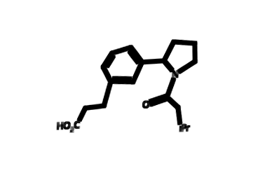 CC(C)CC(=O)N1CCCC1c1cccc(CCC(=O)O)c1